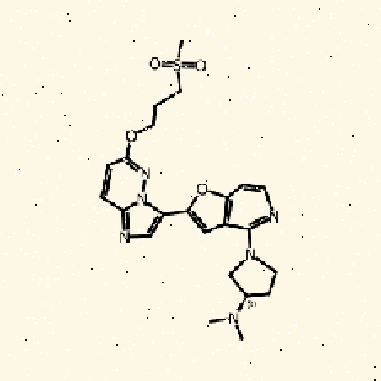 CN(C)[C@@H]1CCN(c2nccc3oc(-c4cnc5ccc(OCCCS(C)(=O)=O)nn45)cc23)C1